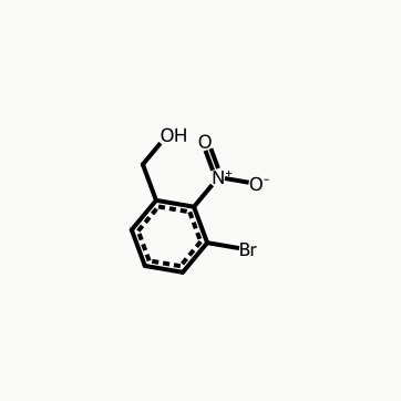 O=[N+]([O-])c1c(Br)cccc1CO